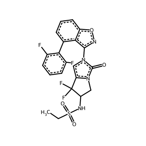 CCS(=O)(=O)NC1Cn2c(cn(-c3noc4cccc(-c5c(F)cccc5F)c34)c2=O)C1(F)F